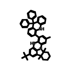 Cc1cc(-c2cccc3c2Nc2ccccc2C3(c2ccccc2)c2ccccc2)c2c(c1)N1c3c(cc(C(C)(C)C)cc3C3(C)CCCCC13C)B2